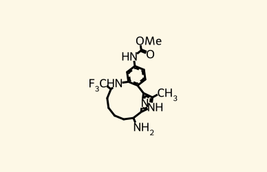 COC(=O)Nc1ccc2c(c1)NC(C(F)(F)F)CCCCC(N)c1nc-2c(C)[nH]1